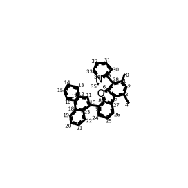 Cc1cc(C)c2c(oc3c(-c4cc5ccccc5c5ccccc45)cccc32)c1-c1cccc[n+]1C